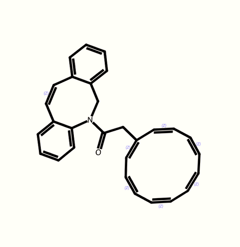 O=C(CC1=C/C=C\C=C/C=C\C=C/C=C\1)N1Cc2ccccc2/C=C\c2ccccc21